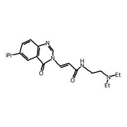 CCN(CC)CCNC(=O)C=Cn1cnc2ccc(C(C)C)cc2c1=O